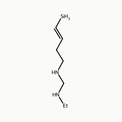 CCNCNCCC=C[SiH3]